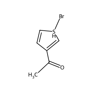 CC(=O)C1=C[SH](Br)C=C1